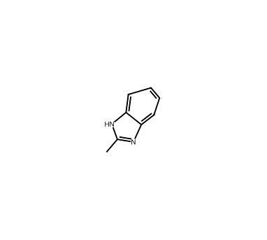 Cc1nc2c[c]ccc2[nH]1